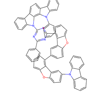 c1ccc(-c2nc(-c3cccc4oc5ccc(-c6cccc7oc8ccc(-n9c%10ccccc%10c%10ccccc%109)cc8c67)cc5c34)nc(-n3c4ccccc4c4ccc5c6ccccc6n(-c6ccccc6)c5c43)n2)cc1